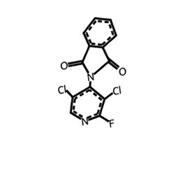 O=C1c2ccccc2C(=O)N1c1c(Cl)cnc(F)c1Cl